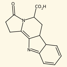 O=C(O)C1CC2C(=C3CCC(=O)N31)N=C1C=CC=CC12